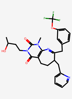 CC(O)CCn1c(=O)c2c(n(C)c1=O)N=C(Cc1cccc(OC(F)(F)F)c1)C(Cc1ccccn1)CC2